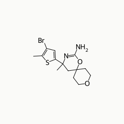 Cc1sc(C2(C)CC3(CCOCC3)OC(N)=N2)cc1Br